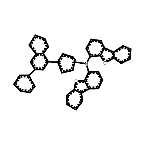 c1ccc(-c2cc(-c3ccc(N(c4cccc5c4oc4ccccc45)c4cccc5c4oc4ccccc45)cc3)c3ccccc3c2)cc1